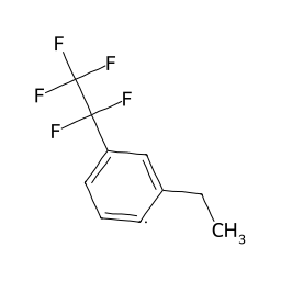 CCc1[c]ccc(C(F)(F)C(F)(F)F)c1